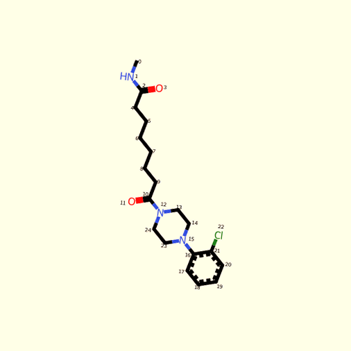 CNC(=O)CCCCCCC(=O)N1CCN(c2ccccc2Cl)CC1